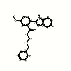 COc1ccc(-c2cc3ccccc3[nH]2)c(C(=O)CCOCc2ccccc2)c1